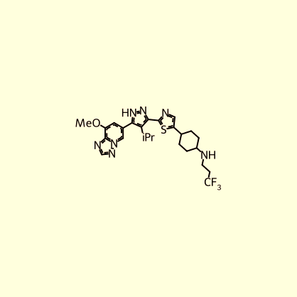 COc1cc(-c2[nH]nc(-c3ncc(C4CCC(NCCC(F)(F)F)CC4)s3)c2C(C)C)cn2ncnc12